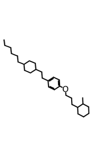 CCCCCCC1CCC(CCc2ccc(OCCCC3CCCCC3C)cc2)CC1